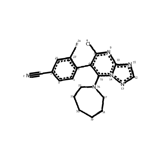 N#Cc1ccc(-c2c(Cl)nc3ncnn3c2N2CCCCCC2)c(F)c1